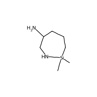 C[Si]1(C)CCCC(N)CN1